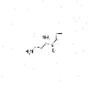 NCC[C@H](N)C(=O)C1CCC1